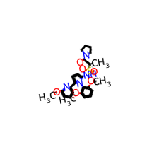 COc1cccc(-c2ccc(NS(=O)(=O)[C@H](C)C(=O)N3CCCC3)n2-c2c(OC)cccc2OC)n1